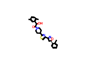 Cc1ccc(C)c(C(O)C(=O)N2CCC(c3nc(C4=NO[C@@H](c5ccccc5C)C4)cs3)CC2)c1